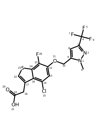 Cn1nc(C(F)(F)F)cc1COc1cc(Cl)c2c(CC(=O)O)csc2c1F